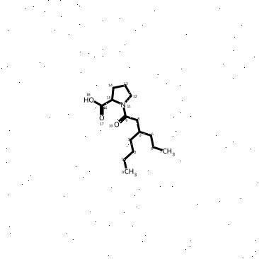 CCCCC(CCC)CC(=O)N1CCCC1C(=O)O